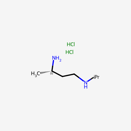 CC(C)NCC[C@H](C)N.Cl.Cl